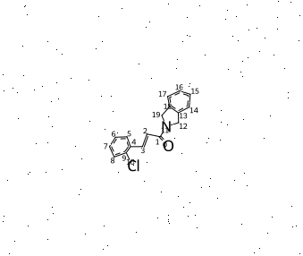 O=C(/C=C/c1ccccc1Cl)N1Cc2ccccc2C1